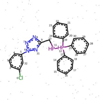 Clc1cccc(-n2nnc(CP[PH](c3ccccc3)(c3ccccc3)c3ccccc3)n2)c1